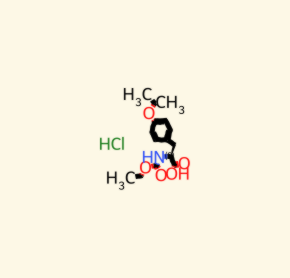 CCOC(=O)N[C@@H](Cc1ccc(OC(C)C)cc1)C(=O)O.Cl